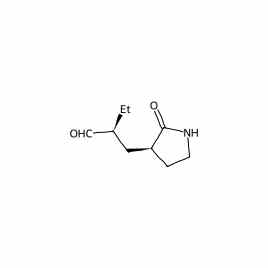 CC[C@H](C=O)C[C@@H]1CCNC1=O